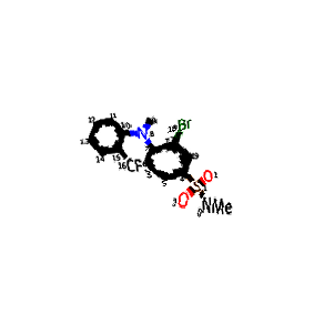 CNS(=O)(=O)c1ccc(N(C)c2ccccc2C(F)(F)F)c(Br)c1